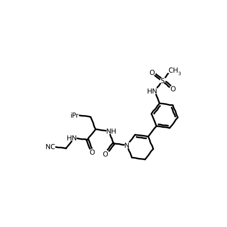 CC(C)CC(NC(=O)N1C=C(c2cccc(NS(C)(=O)=O)c2)CCC1)C(=O)NCC#N